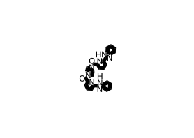 O=C(c1cccc(-c2nc3ccccc3[nH]2)n1)N1CC2CC1CN2C(=O)c1cccc(-c2nc3ccccc3[nH]2)n1